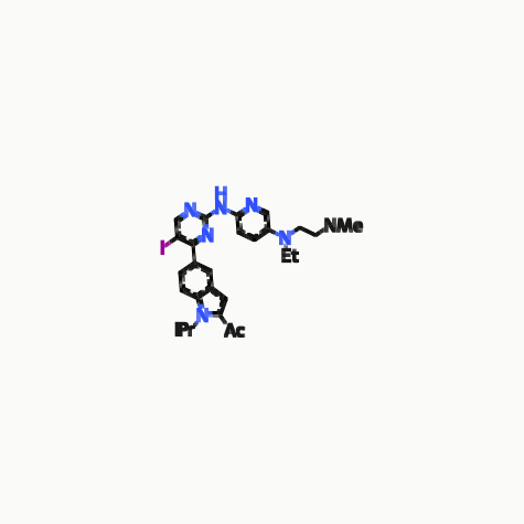 CCN(CCNC)c1ccc(Nc2ncc(I)c(-c3ccc4c(c3)cc(C(C)=O)n4C(C)C)n2)nc1